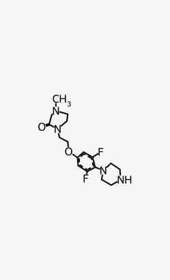 CN1CCN(CCOc2cc(F)c(N3CCNCC3)c(F)c2)C(=O)C1